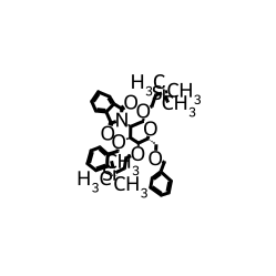 C[Si](C)(C)CCO[C@H]1O[C@H](COCc2ccccc2)[C@@H](OCC[Si](C)(C)C)[C@H](OCc2ccccc2)[C@@H]1N1C(=O)c2ccccc2C1=O